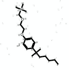 CCCCCC(C)(C)c1ccc(OCCOC[N+](C)(C)C)cc1.[I-]